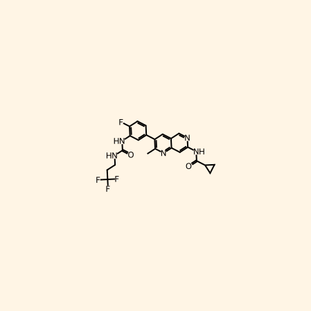 Cc1nc2cc(NC(=O)C3CC3)ncc2cc1-c1ccc(F)c(NC(=O)NCCC(F)(F)F)c1